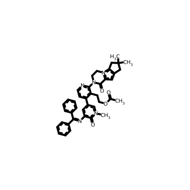 CC(=O)OCCc1c(-c2cc(N=C(c3ccccc3)c3ccccc3)c(=O)n(C)c2)ccnc1N1CCn2c(cc3c2CC(C)(C)C3)C1=O